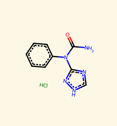 Cl.NC(=O)N(c1ccccc1)c1nc[nH]n1